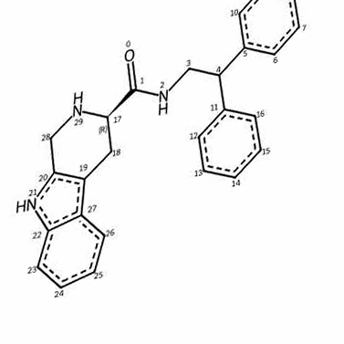 O=C(NCC(c1ccccc1)c1ccccc1)[C@H]1Cc2c([nH]c3ccccc23)CN1